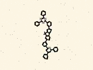 CC1(C)c2cc(-c3cccc(-c4cc(-c5ccccc5)cc(-c5ccccc5)n4)c3)ccc2-c2ccc(-c3cccc(-c4nc(-c5ccccc5)nc(-c5ccccc5)n4)c3)cc21